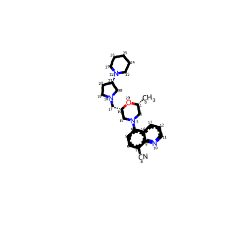 C[C@@H]1CN(c2ccc(C#N)c3ncccc23)C[C@H](CN2CC[C@H](N3CCCCC3)C2)O1